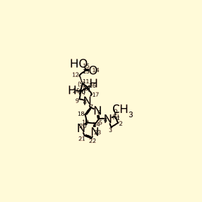 C[C@H]1CCN1c1nc(N2C[C@@H]3[C@@H](CC(=O)O)[C@@H]3C2)cc2nccnc12